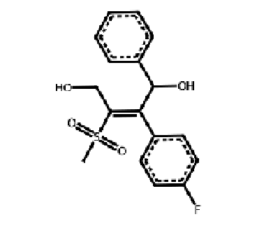 CS(=O)(=O)C(CO)=C(c1ccc(F)cc1)C(O)c1ccccc1